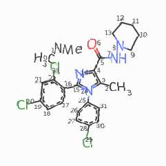 CNC.Cc1c(C(=O)NN2CCCCC2)nc(-c2ccc(Cl)cc2Cl)n1-c1ccc(Cl)cc1